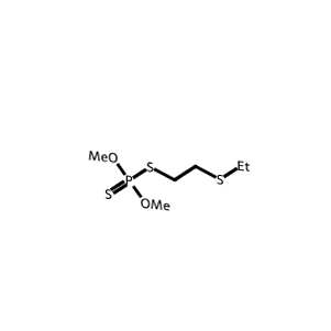 CCSCCSP(=S)(OC)OC